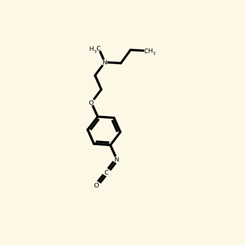 CCCN(C)CCOc1ccc(N=C=O)cc1